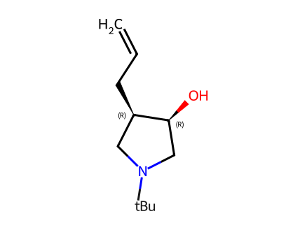 C=CC[C@@H]1CN(C(C)(C)C)C[C@@H]1O